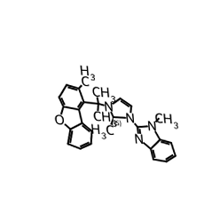 Cc1ccc2oc3ccccc3c2c1C(C)(C)N1C=CN(c2nc3ccccc3n2C)[C@H]1C